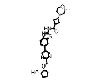 C[C@@H]1CN(C2CC(C(=O)Nc3nc4ccc(-c5cnc(CO[C@H]6CCC[C@@H]6O)nc5)cc4s3)C2)CCO1